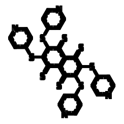 S=c1c(Sc2ccncc2)c(Sc2ccncc2)c(=S)c2c(=S)c(Sc3ccncc3)c(Sc3ccncc3)c(=S)c1=2